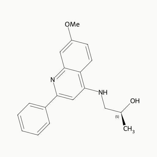 COc1ccc2c(NC[C@H](C)O)cc(-c3ccccc3)nc2c1